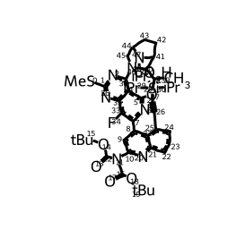 CSc1nc2c3c(nc(-c4cc(N(C(=O)OC(C)(C)C)C(=O)OC(C)(C)C)nc5cccc(C#C[Si](C(C)C)(C(C)C)C(C)C)c45)c(F)c3n1)OC(C)C1C3CCC(CN21)N3C(=O)O